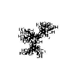 CN(CC(O)CO)C(=O)c1c(I)c(NC(=O)C(O)C(O)CO)c(I)c(C(=O)N(C)CC(O)CN(CC(O)CN(C)C(=O)c2c(I)c(NC(=O)C(O)C(O)CO)c(I)c(C(=O)N(C)CC(O)CO)c2I)C(=O)c2c(I)c(NC(=O)C(O)C(O)CO)c(I)c(C(=O)N(C)CC(O)CO)c2I)c1I